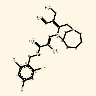 C=C/C(CC)=C1/CN2CCCCC(C2)N1/C=C(\C)C(=C)NCc1c(F)cc(F)cc1F